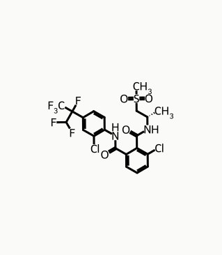 C[C@@H](CS(C)(=O)=O)NC(=O)c1c(Cl)cccc1C(=O)Nc1ccc(C(F)(C(F)F)C(F)(F)F)cc1Cl